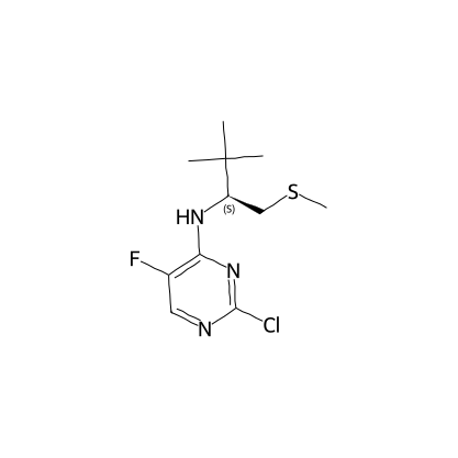 CSC[C@@H](Nc1nc(Cl)ncc1F)C(C)(C)C